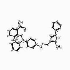 Cc1oc(-c2ccccc2)nc1CCOc1ccc(N(Cc2c(Cl)cccc2C(=O)O)c2ccccc2)cc1